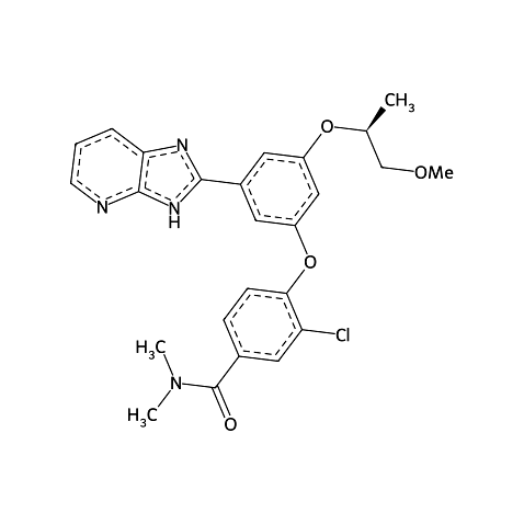 COC[C@H](C)Oc1cc(Oc2ccc(C(=O)N(C)C)cc2Cl)cc(-c2nc3cccnc3[nH]2)c1